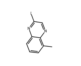 Cc1cccc2nc(I)cnc12